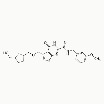 COc1cccc(CNC(=O)c2nc3scc(COCC4CCC(CO)C4)c3c(=O)[nH]2)c1